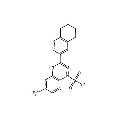 CCCS(=O)(=O)Nc1ncc(C(F)(F)F)cc1NC(=O)c1ccc2c(c1)CCCC2